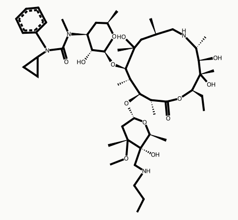 CCCNC[C@]1(O)[C@H](C)O[C@@H](O[C@H]2[C@H](C)[C@@H](O[C@@H]3O[C@H](C)C[C@H](N(C)C(=O)N(c4ccccc4)C4CC4)[C@H]3O)[C@](C)(O)C[C@@H](C)CN[C@H](C)[C@@H](O)[C@](C)(O)[C@@H](CC)OC(=O)[C@@H]2C)C[C@@]1(C)OC